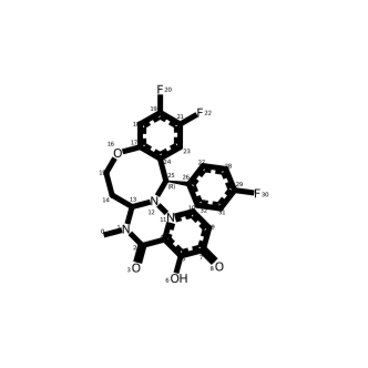 CN1C(=O)c2c(O)c(=O)ccn2N2C1CCOc1cc(F)c(F)cc1[C@H]2c1ccc(F)cc1